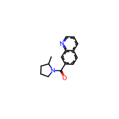 CC1CCCN1C(=O)c1ccc2cccnc2c1